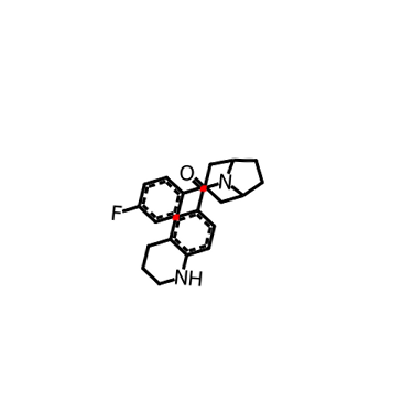 O=C(c1ccc2c(c1)CCCN2)N1C2CCC1CC(c1ccc(F)cc1)C2